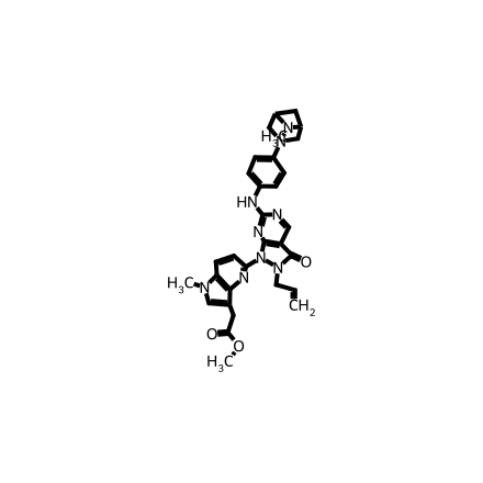 C=CCn1c(=O)c2cnc(Nc3ccc(N4CC5CC(C4)N5C)cc3)nc2n1-c1ccc2c(n1)c(CC(=O)OC)cn2C